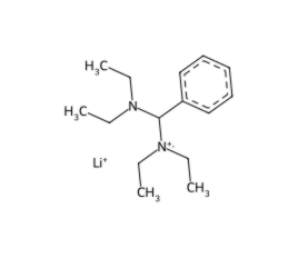 CCN(CC)C(c1ccccc1)[N+](CC)CC.[Li+]